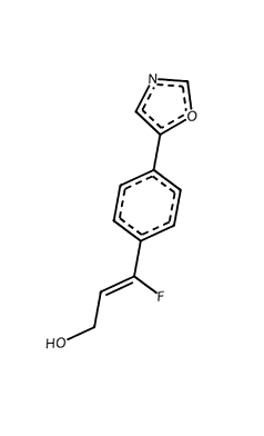 OCC=C(F)c1ccc(-c2cnco2)cc1